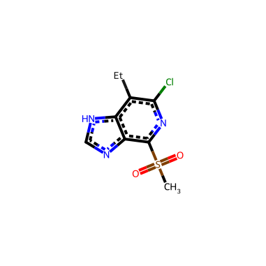 CCc1c(Cl)nc(S(C)(=O)=O)c2nc[nH]c12